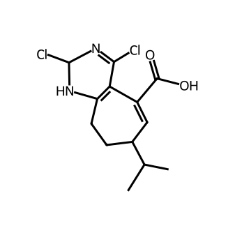 CC(C)C1C=C(C(=O)O)C2=C(CC1)NC(Cl)N=C2Cl